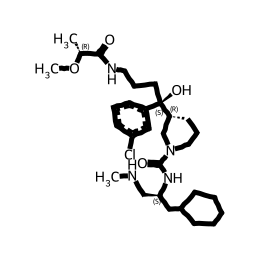 CNC[C@H](CC1CCCCC1)NC(=O)N1CCC[C@@H]([C@@](O)(CCCNC(=O)[C@@H](C)OC)c2cccc(Cl)c2)C1